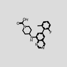 Cc1cccc(F)c1-c1cc(NC2CCN(C(=O)O)CC2)c2ncncc2c1